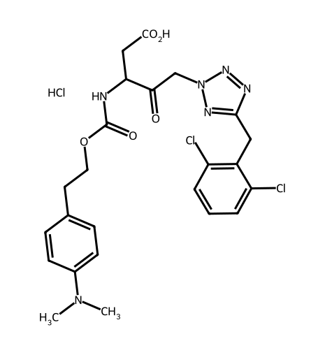 CN(C)c1ccc(CCOC(=O)NC(CC(=O)O)C(=O)Cn2nnc(Cc3c(Cl)cccc3Cl)n2)cc1.Cl